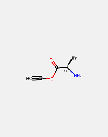 C#COC(=O)[C@H](N)C(C)C